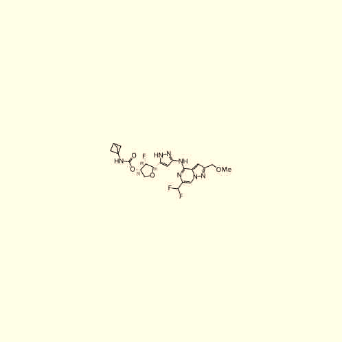 COCc1cc2c(Nc3cc([C@@H]4OC[C@H](OC(=O)NC56CC(C5)C6)[C@@H]4F)[nH]n3)nc(C(F)F)cn2n1